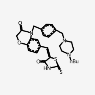 CCCCN1CCN(Cc2ccc(CN3C(=O)COc4ccc(C=C5SC(=S)NC5=O)cc43)cc2)CC1